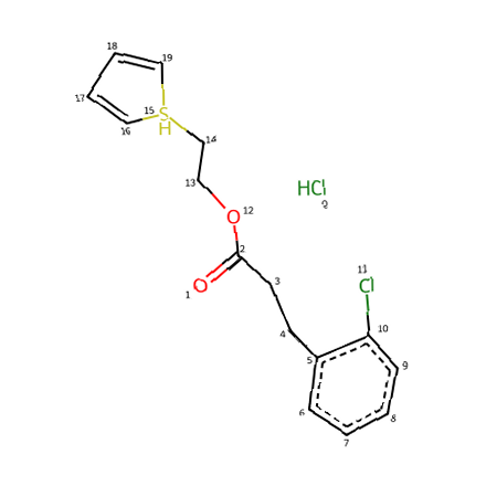 Cl.O=C(CCc1ccccc1Cl)OCC[SH]1C=CC=C1